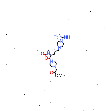 COC(=O)CN1CCN(C2OC(=O)N(C)C2CCCN2CCN(C(=N)N)CC2)CC1